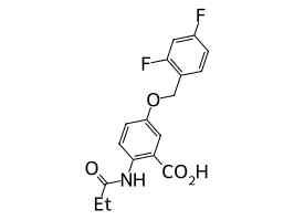 CCC(=O)Nc1ccc(OCc2ccc(F)cc2F)cc1C(=O)O